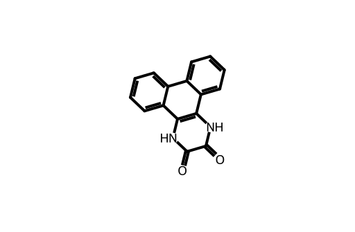 O=c1[nH]c2c3ccccc3c3ccccc3c2[nH]c1=O